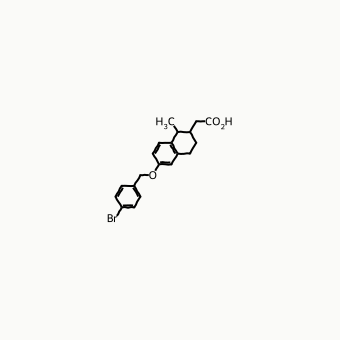 CC1c2ccc(OCc3ccc(Br)cc3)cc2CCC1CC(=O)O